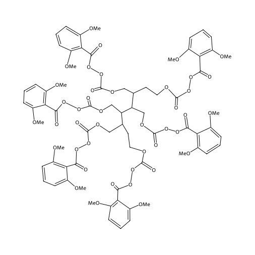 COc1cccc(OC)c1C(=O)OOC(=O)OCCC(COC(=O)OOC(=O)c1c(OC)cccc1OC)C(COC(=O)OOC(=O)c1c(OC)cccc1OC)C(COC(=O)OOC(=O)c1c(OC)cccc1OC)C(CCOC(=O)OOC(=O)c1c(OC)cccc1OC)COC(=O)OOC(=O)c1c(OC)cccc1OC